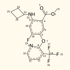 COC(=O)c1cc(Oc2ncccc2C(F)(F)F)c(F)cc1NC1CCC1